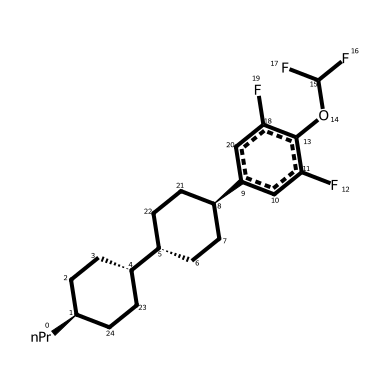 CCC[C@H]1CC[C@H]([C@H]2CC[C@H](c3cc(F)c(OC(F)F)c(F)c3)CC2)CC1